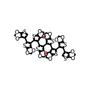 c1sc2c(c1-c1sc3c(c1-c1sc4c(c1-c1sc5c(c1-c1c(-c6c(-c7c(-c8csc9c8OCO9)sc8c7OCO8)sc7c6OCO7)sc6c1OCO6)OCO5)OCO4)OCO3)OCO2